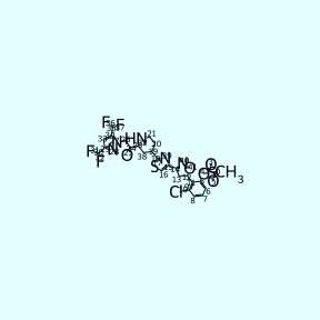 CS(=O)(=O)Oc1cccc(Cl)c1C1CC(c2csc(C3CCNC(C(=O)Cn4nc(C(F)F)cc4C(F)F)C3)n2)=NO1